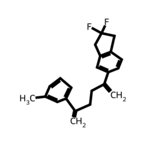 C=C(CCC(=C)c1ccc2c(c1)CC(F)(F)C2)c1cccc(C)c1